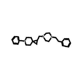 c1ccc(CCN2CCN(CC3CC34CCN(c3ccccc3)CC4)CC2)cc1